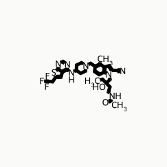 CCC(O)(CCNC(C)=O)Cn1c(C#N)cc2c(C)c(CN3CCC(Nc4ncnc5sc(CC(F)(F)F)cc45)CC3)ccc21